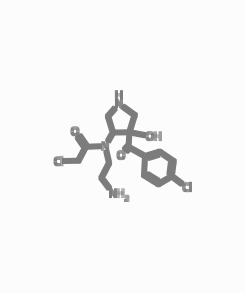 NCCN(C(=O)CCl)C1CNCC1(O)C(=O)c1ccc(Cl)cc1